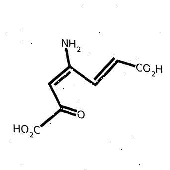 N/C(C=CC(=O)O)=C/C(=O)C(=O)O